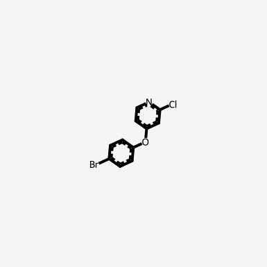 Clc1cc(Oc2ccc(Br)cc2)ccn1